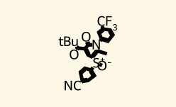 Cc1c([S+]([O-])c2ccc(C#N)cc2)cc(C(=O)C(C)(C)C)c(=O)n1-c1cccc(C(F)(F)F)c1